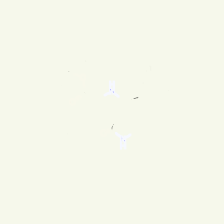 CC(C)(C)C[C@@H]1N[C@@H](C(=O)OC(C)(C)C)[C@@H](c2cc(F)cc(Cl)c2)[C@]12C(=O)Nc1cc(Cl)ccc12